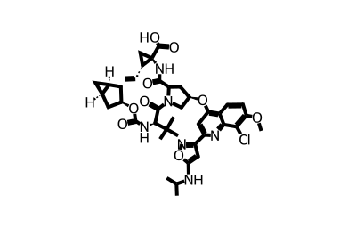 C=C[C@@H]1C[C@]1(NC(=O)C1C[C@@H](Oc2cc(-c3cc(NC(C)C)on3)nc3c(Cl)c(OC)ccc23)CN1C(=O)[C@@H](NC(=O)O[C@@H]1C[C@@H]2C[C@@H]2C1)C(C)(C)C)C(=O)O